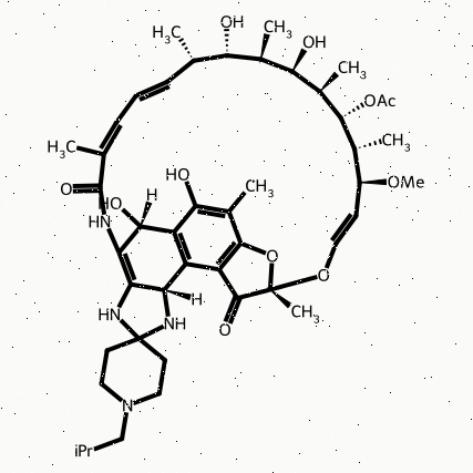 CO[C@H]1/C=C/O[C@@]2(C)Oc3c(C)c(O)c4c(c3C2=O)[C@@H]2NC3(CCN(CC(C)C)CC3)NC2=C(NC(=O)/C(C)=C\C=C\[C@H](C)[C@H](O)[C@@H](C)[C@@H](O)[C@@H](C)[C@H](OC(C)=O)[C@@H]1C)[C@@H]4O